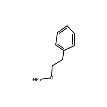 [PbH][O]CCc1ccccc1